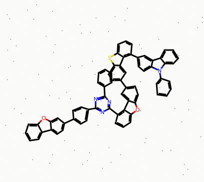 c1ccc(-c2nc(-c3ccc(-c4ccc5c(c4)oc4ccccc45)cc3)nc(-c3cccc4oc5ccc(-c6ccc7sc8cccc(-c9ccc%10c(c9)c9ccccc9n%10-c9ccccc9)c8c7c6)cc5c34)n2)cc1